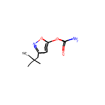 CC(C)(C#N)c1cc(OC(N)=O)on1